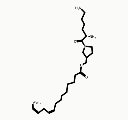 CCCCC/C=C\C/C=C\CCCCCCCC(=O)OCC1CCN(C(=O)[C@@H](N)CCCCN)C1